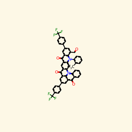 Cc1ccccc1-n1c2cc3c(cc2c(=O)c2cc(-c4ccc(C(F)(F)F)cc4)cc(C=O)c21)c(=O)c1cc(-c2ccc(C(F)(F)F)cc2)cc2c(=O)c4ccccc4n3c21